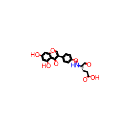 O=C[C@H](CCC(=O)O)NOc1ccc(-c2coc3cc(O)cc(O)c3c2=O)cc1